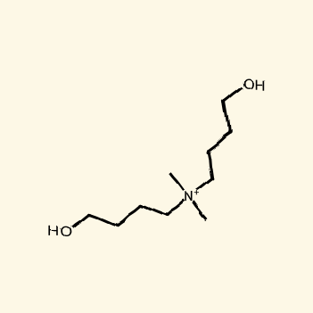 C[N+](C)(CCCCO)CCCCO